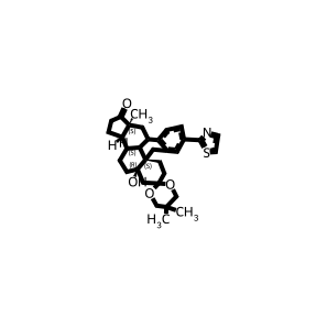 CC1(C)COC2(CC[C@@]34Cc5cc(-c6nccs6)ccc5C5C[C@]6(C)C(=O)CC[C@H]6[C@H](CC[C@@]3(O)C2)C54)OC1